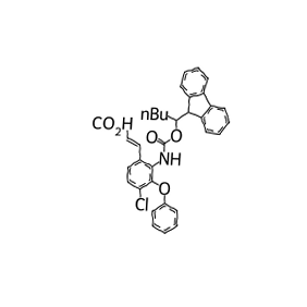 CCCCC(OC(=O)Nc1c(C=CC(=O)O)ccc(Cl)c1Oc1ccccc1)C1c2ccccc2-c2ccccc21